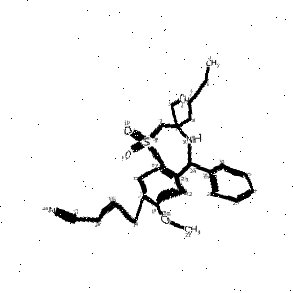 CCCCC1(CC)CS(=O)(=O)c2cc(CCCC#N)c(OC)cc2C(c2ccccc2)N1